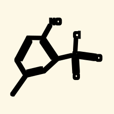 Cc1ccc(N=O)c(S(=O)(=O)Cl)c1